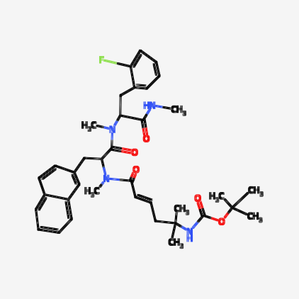 CNC(=O)C(Cc1ccccc1F)N(C)C(=O)C(Cc1ccc2ccccc2c1)N(C)C(=O)C=CCC(C)(C)NC(=O)OC(C)(C)C